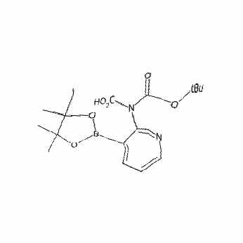 CC(C)(C)OC(=O)N(C(=O)O)c1ncccc1B1OC(C)(C)C(C)(C)O1